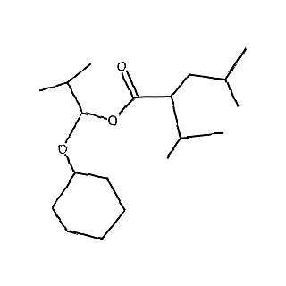 CC(C)CC(C(=O)OC(OC1CCCCC1)C(C)C)C(C)C